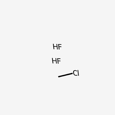 CCl.F.F